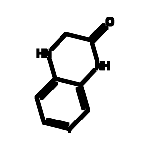 O=C1CNc2cc[c]cc2N1